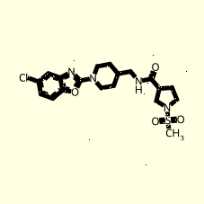 CS(=O)(=O)N1CCC(C(=O)NCC2CCN(c3nc4cc(Cl)ccc4o3)CC2)C1